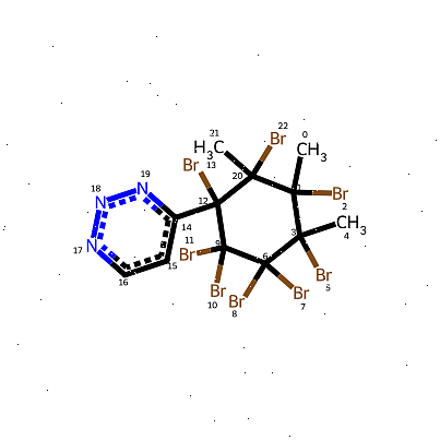 CC1(Br)C(C)(Br)C(Br)(Br)C(Br)(Br)C(Br)(c2ccnnn2)C1(C)Br